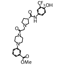 COC(=O)c1cccc(N2CCN(C(=O)CN3CC[C@@H](C(=O)Nc4ccc(O)c(C(F)(F)F)c4)C3)CC2)c1